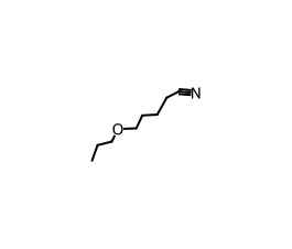 CCCOCCCCC#N